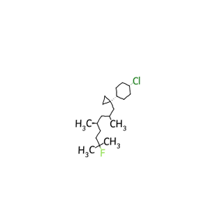 CC(C[C@H](C)CCC(C)(C)F)CC1([C@H]2CC[C@@H](Cl)CC2)CC1